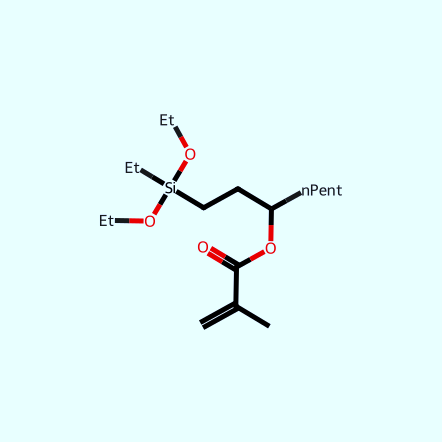 C=C(C)C(=O)OC(CCCCC)CC[Si](CC)(OCC)OCC